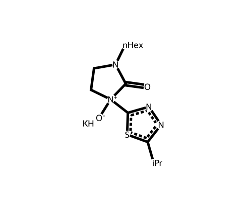 CCCCCCN1CC[N+]([O-])(c2nnc(C(C)C)s2)C1=O.[KH]